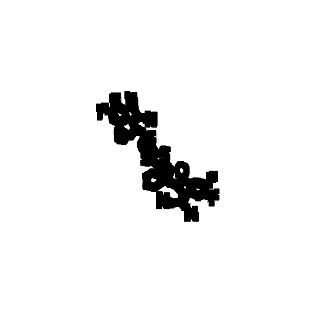 N#CC(C#N)=C1/C(=C/c2cc3sc4c5c(sc4c3s2)C=C(/C=C2\C(=O)c3cc(F)c(F)cc3C2=C(C#N)C#N)C52CCCCC2)COCc2cc(F)c(F)cc21